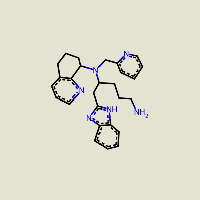 NCCCC(Cc1nc2ccccc2[nH]1)N(Cc1ccccn1)C1CCCc2cccnc21